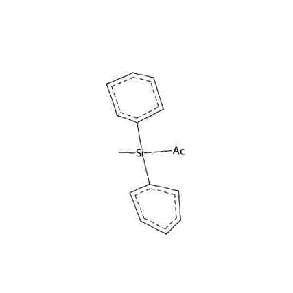 CC(=O)[Si](C)(c1ccccc1)c1ccccc1